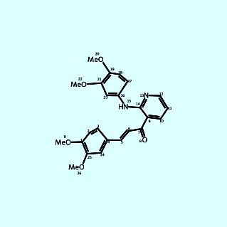 COc1ccc(/C=C/C(=O)c2cccnc2Nc2ccc(OC)c(OC)c2)cc1OC